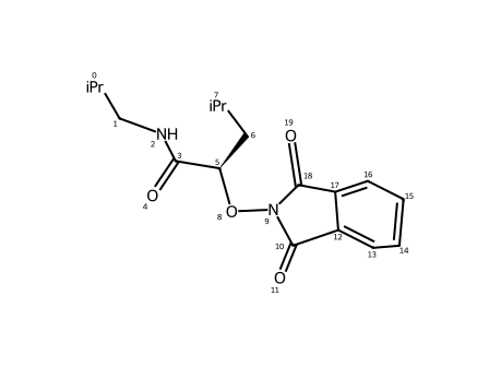 CC(C)CNC(=O)[C@@H](CC(C)C)ON1C(=O)c2ccccc2C1=O